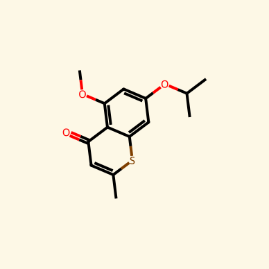 COc1cc(OC(C)C)cc2sc(C)cc(=O)c12